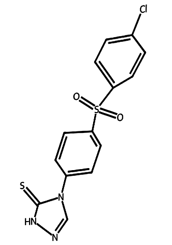 O=S(=O)(c1ccc(Cl)cc1)c1ccc(-n2cn[nH]c2=S)cc1